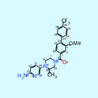 COc1cc(C(=O)N2CCN(c3ccc(N)nc3)[C@H](C)C2)ccc1-c1ccc(C(F)(F)F)cc1